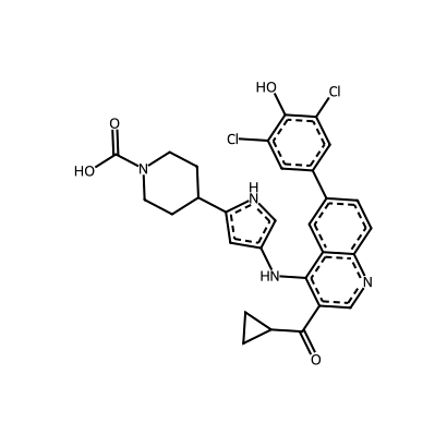 O=C(c1cnc2ccc(-c3cc(Cl)c(O)c(Cl)c3)cc2c1Nc1c[nH]c(C2CCN(C(=O)O)CC2)c1)C1CC1